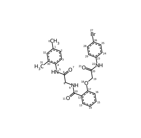 Cc1ccc(NC(=O)CNC(=O)c2ccccc2OCC(=O)Nc2ccc(Br)cc2)c(C)c1